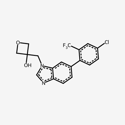 OC1(Cn2cnc3ccc(-c4ccc(Cl)cc4C(F)(F)F)cc32)COC1